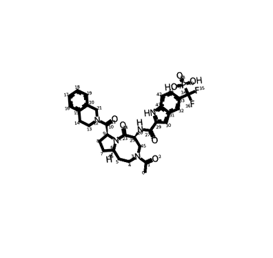 CC(=O)N1CC[C@H]2CC[C@@H](C(=O)N3CCc4ccccc4C3)N2C(=O)[C@@H](NC(=O)c2cc3cc(C(F)(F)P(=O)(O)O)ccc3[nH]2)C1